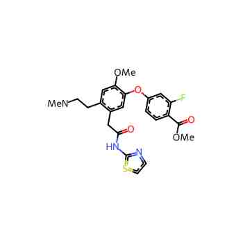 CNCCc1cc(OC)c(Oc2ccc(C(=O)OC)c(F)c2)cc1CC(=O)Nc1nccs1